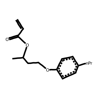 C=CC(=O)OC(C)CCOc1ccc(CCC)cc1